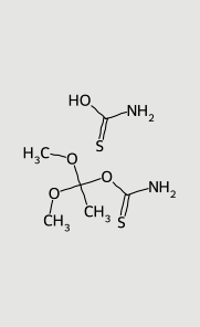 COC(C)(OC)OC(N)=S.NC(O)=S